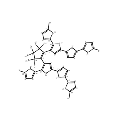 Cc1ccc(-c2ccc(-c3cc(C4=C(c5cc(-c6ccc(-c7ccc(C)s7)s6)sc5-c5ccc(C)s5)C(F)(F)C(F)(F)C4(F)F)c(-c4ccc(C)s4)s3)s2)s1